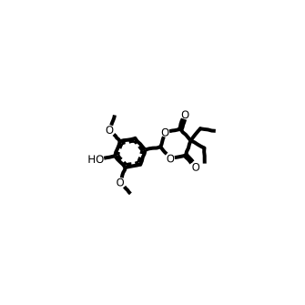 CCC1(CC)C(=O)OC(c2cc(OC)c(O)c(OC)c2)OC1=O